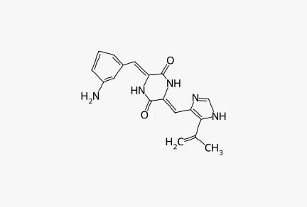 C=C(C)c1[nH]cnc1/C=c1\[nH]c(=O)/c(=C/c2cccc(N)c2)[nH]c1=O